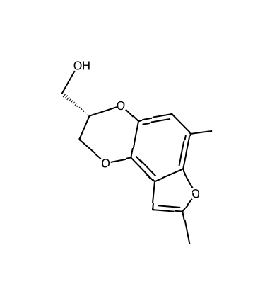 Cc1cc2c3c(cc(C)c2o1)O[C@@H](CO)CO3